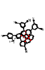 N#Cc1cc(C#N)cc(-c2ccc3c(c2)c2ccccc2n3-c2ccc(-c3ccc(C#N)cc3C(F)(F)F)cc2-c2ccc(C#N)cc2-n2c3ccccc3c3cc(-c4cc(C#N)cc(C#N)c4)ccc32)c1